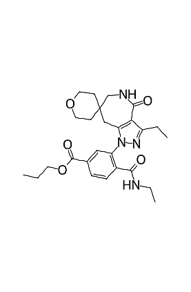 CCCOC(=O)c1ccc(C(=O)NCC)c(-n2nc(CC)c3c2CC2(CCOCC2)CNC3=O)c1